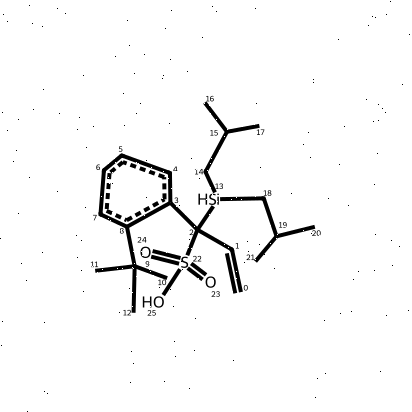 C=CC(c1ccccc1C(C)(C)C)([SiH](CC(C)C)CC(C)C)S(=O)(=O)O